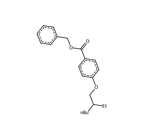 CCCCC(CC)COc1ccc(C(=O)OCc2ccccc2)cc1